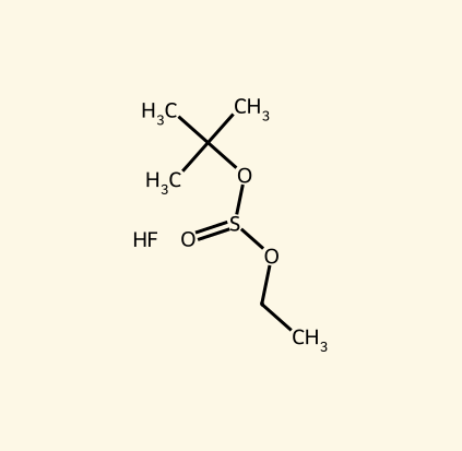 CCOS(=O)OC(C)(C)C.F